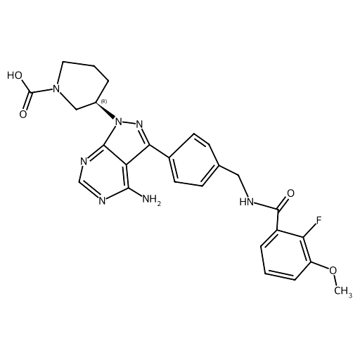 COc1cccc(C(=O)NCc2ccc(-c3nn([C@@H]4CCCN(C(=O)O)C4)c4ncnc(N)c34)cc2)c1F